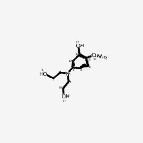 COc1ccc(N(CCO)CCO)cc1O